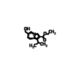 CCOC(=O)c1cn2cc(CO)ccc2c1C(C)C